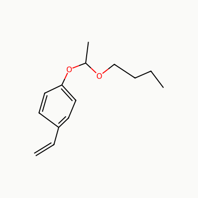 C=Cc1ccc(OC(C)OCCCC)cc1